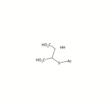 CC(=O)SC(CC(=O)O)C(=O)O.[HH]